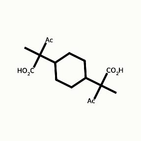 CC(=O)C(C)(C(=O)O)C1CCC(C(C)(C(C)=O)C(=O)O)CC1